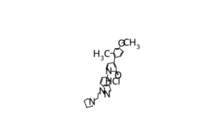 COc1ccc(-c2ccn(-c3ccc4c(cnn4CCN4CCCC4)c3)c(=O)c2)c(C)c1.Cl